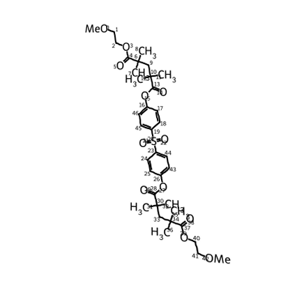 COCCOC(=O)C(C)(C)CC(C)(C)C(=O)Oc1ccc(S(=O)(=O)c2ccc(OC(=O)C(C)(C)CC(C)(C)C(=O)OCCOC)cc2)cc1